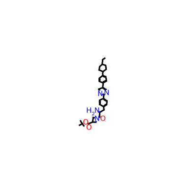 CCC1CCC(c2ccc(-c3cnc(-c4ccc(CC(N)C(=O)N5CC(C(=O)OC(C)(C)C)C5)cc4)nc3)cc2)CC1